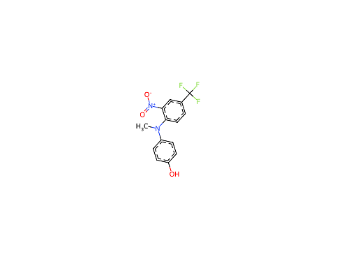 CN(c1ccc(O)cc1)c1ccc(C(F)(F)F)cc1[N+](=O)[O-]